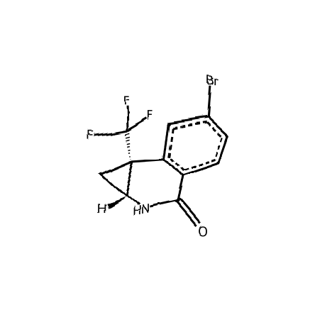 O=C1N[C@@H]2C[C@@]2(C(F)(F)F)c2cc(Br)ccc21